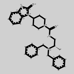 C[C@@H](COC(=O)N1CCC(n2c(=O)oc3ccccc32)CC1)N(Cc1ccccc1)Cc1ccccc1